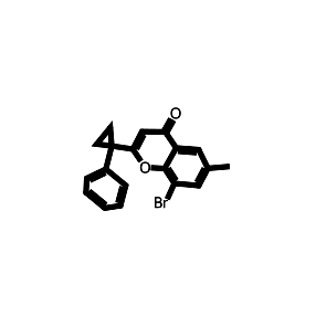 Cc1cc(Br)c2oc(C3(c4ccccc4)CC3)cc(=O)c2c1